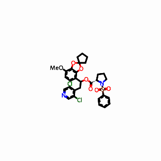 COc1ccc(C(Cc2c(Cl)cncc2Cl)OC(=O)[C@@H]2CCCN2S(=O)(=O)c2ccccc2)c2c1OC1(CCCC1)O2